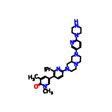 Cc1cc(-c2ccc(N3CCN4CCN(c5ccc(N6CCNCC6)nc5)CC4C3)nc2C(C)C)cn(C)c1=O